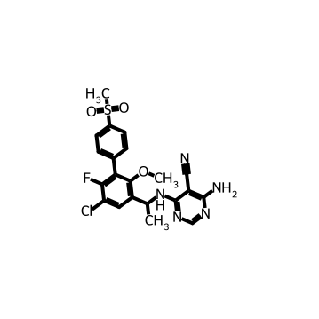 COc1c(C(C)Nc2ncnc(N)c2C#N)cc(Cl)c(F)c1-c1ccc(S(C)(=O)=O)cc1